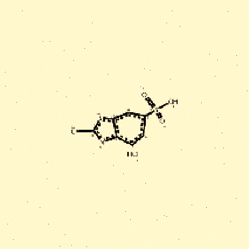 Cl.O=S(=O)(O)c1ccc2nc(Cl)sc2c1